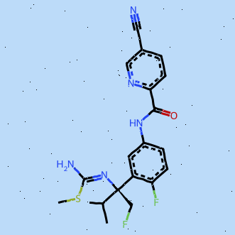 CS/C(N)=N\[C@](CF)(c1cc(NC(=O)c2ccc(C#N)cn2)ccc1F)C(C)C